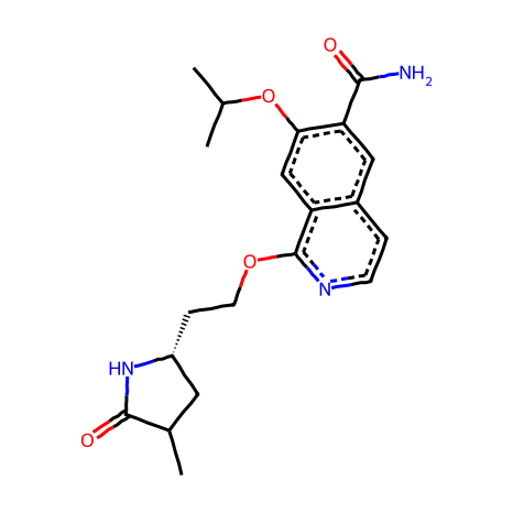 CC(C)Oc1cc2c(OCC[C@@H]3CC(C)C(=O)N3)nccc2cc1C(N)=O